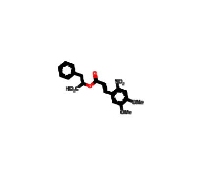 COc1cc(C=CC(=O)OC(Cc2ccccc2)C(=O)O)c([N+](=O)[O-])cc1OC